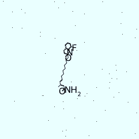 CC(C=CCCCCCCCOc1ccc2cccc(F)c2n1)=CC(N)=O